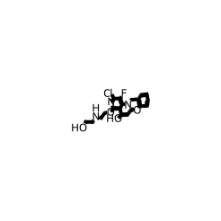 O=c1cc(O)c2c(OCCNCCO)nc(Cl)c(F)c2n1Cc1ccccc1